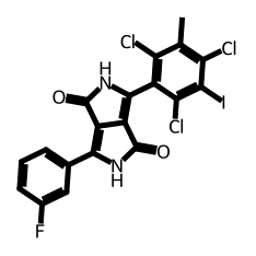 Cc1c(Cl)c(I)c(Cl)c(C2=C3C(=O)NC(c4cccc(F)c4)=C3C(=O)N2)c1Cl